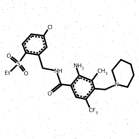 CCS(=O)(=O)c1ccc(Cl)cc1CNC(=O)c1cc(C(F)(F)F)c(CN2CCCCC2)c(C)c1N